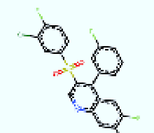 O=S(=O)(c1ccc(F)c(Cl)c1)c1cnc2cc(Cl)c(F)cc2c1-c1cccc(F)c1